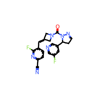 N#Cc1ccc(C=C2CN(C(=O)N3N=CCC3c3cncc(F)c3)C2)c(F)n1